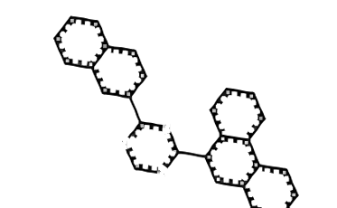 c1ccc2cc(-c3ncnc(-c4cc5ccccc5c5ccccc45)n3)ccc2c1